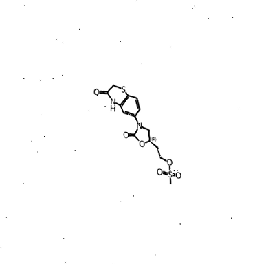 CS(=O)(=O)OCC[C@@H]1CN(c2ccc3c(c2)NC(=O)CS3)C(=O)O1